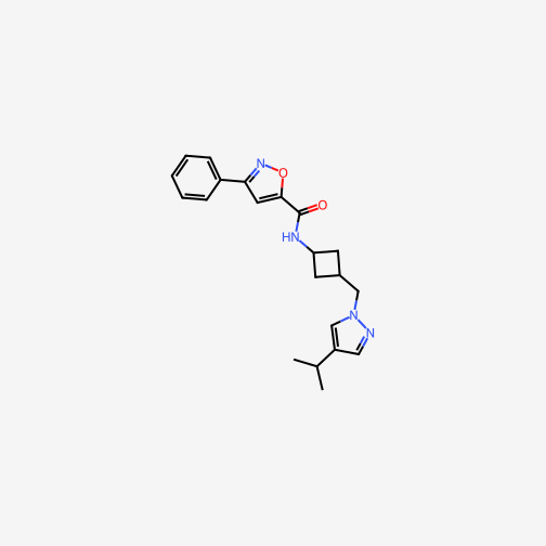 CC(C)c1cnn(CC2CC(NC(=O)c3cc(-c4ccccc4)no3)C2)c1